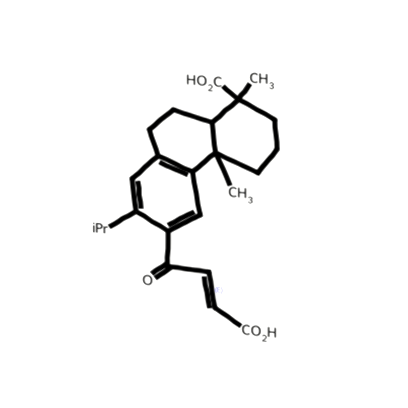 CC(C)c1cc2c(cc1C(=O)/C=C/C(=O)O)C1(C)CCCC(C)(C(=O)O)C1CC2